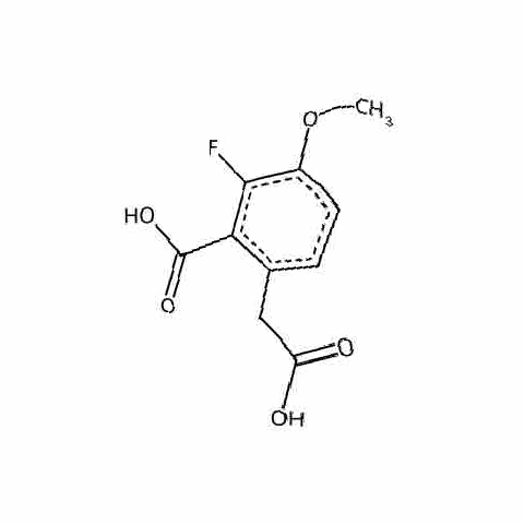 COc1ccc(CC(=O)O)c(C(=O)O)c1F